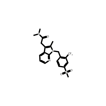 Cc1c(CC(=O)N(C)C)c2cccnc2n1Cc1ccc(S(C)(=O)=O)cc1C(F)(F)F